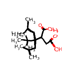 CC(C)CC(CC(C)C)(C(CC(=O)O)C(=O)O)C(C)(C)C